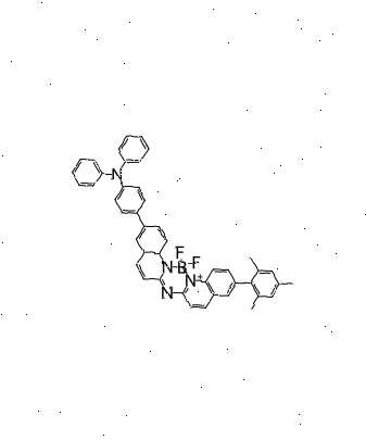 Cc1cc(C)c(-c2ccc3c(ccc4[n+]3[B-](F)(F)N3C(=N4)C=CC4C=C(c5ccc(N(c6ccccc6)c6ccccc6)cc5)C=CC43)c2)c(C)c1